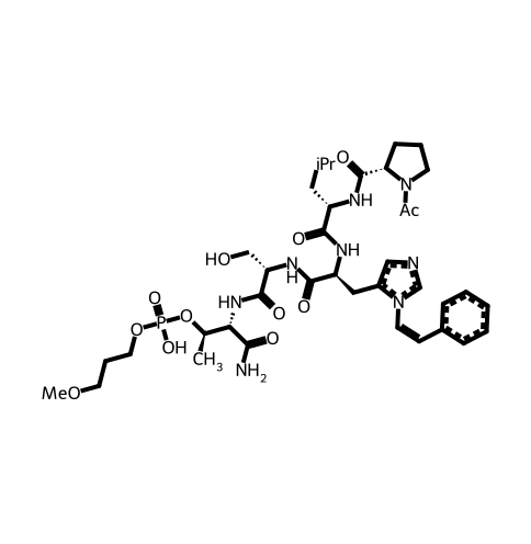 COCCCOP(=O)(O)O[C@H](C)[C@H](NC(=O)[C@H](CO)NC(=O)[C@H](Cc1cncn1/C=C\c1ccccc1)NC(=O)[C@H](CC(C)C)NC(=O)[C@@H]1CCCN1C(C)=O)C(N)=O